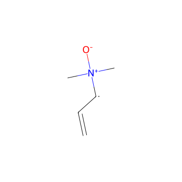 C=C[CH][N+](C)(C)[O-]